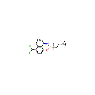 CBCCC(C)(C)[S@@+]([O-])/N=C(/C)c1cccc(C(F)F)c1CC#N